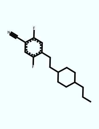 CCCC1CCC(CCc2cc(F)c(C#N)cc2F)CC1